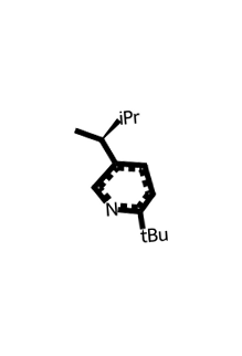 CC(C)[C@H](C)c1ccc(C(C)(C)C)nc1